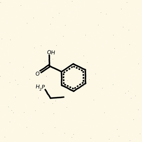 CCP.O=C(O)c1ccccc1